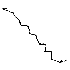 CCCCCCCCCCCCCCCCCCCC[CH]C#N